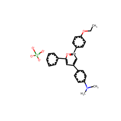 CCOc1ccc([Se]2=[O+]C(c3ccccc3)=CC(c3ccc(N(C)C)cc3)=C2)cc1.[O-][Cl+3]([O-])([O-])[O-]